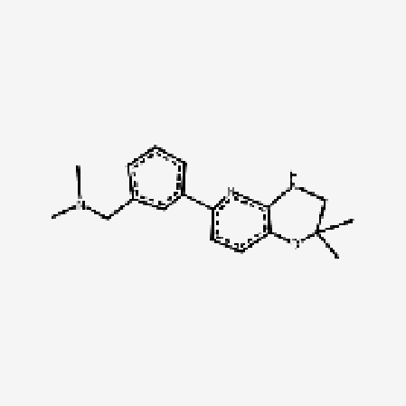 CN(C)Cc1cccc(-c2ccc3c(n2)NCC(C)(C)O3)c1